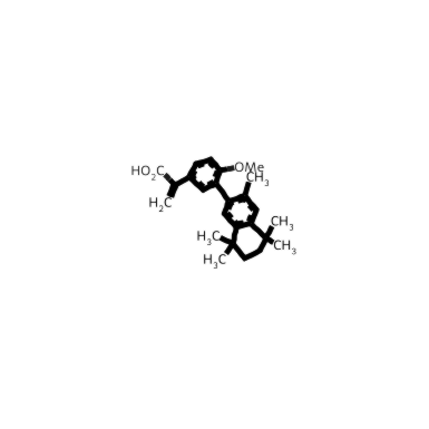 C=C(C(=O)O)c1ccc(OC)c(-c2cc3c(cc2C)C(C)(C)CCC3(C)C)c1